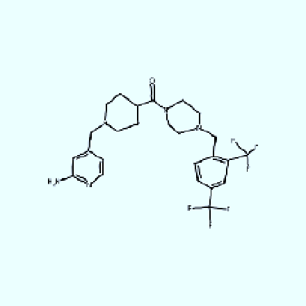 Nc1cc(CN2CCC(C(=O)N3CCN(Cc4ccc(C(F)(F)F)cc4C(F)(F)F)CC3)CC2)ccn1